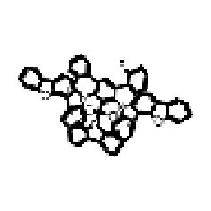 CC(C)(c1c(-n2c3ccccc3c3c4oc5ccccc5c4ccc32)c(-c2ccccc2F)cc(-c2ccccc2F)c1-n1c2ccccc2c2c3oc4ccccc4c3ccc21)n1c2ccccc2c2ccccc21